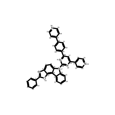 c1ccc(-c2nc3ccc4c(c5ccccc5n4-c4nc(-c5ccncc5)cc(-c5ccc(-c6ccncc6)cc5)n4)c3o2)cc1